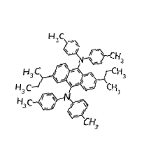 CCC(C)c1ccc2c(N(c3ccc(C)cc3)c3ccc(C)cc3)c3cc(C(C)CC)ccc3c(N(c3ccc(C)cc3)c3ccc(C)cc3)c2c1